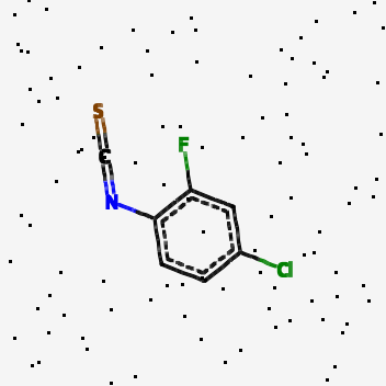 Fc1cc(Cl)ccc1N=C=S